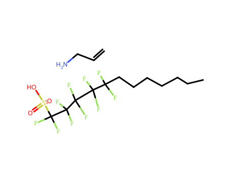 C=CCN.CCCCCCCC(F)(F)C(F)(F)C(F)(F)C(F)(F)C(F)(F)S(=O)(=O)O